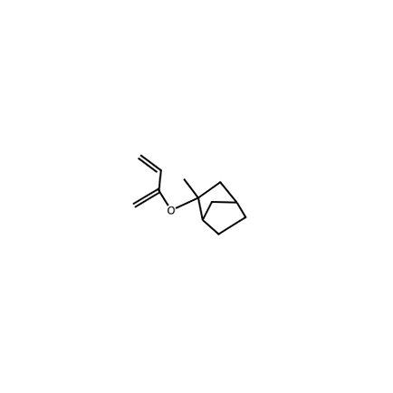 C=CC(=C)OC1(C)CC2CCC1C2